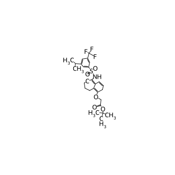 CC(C)c1cc(C(F)(F)F)cc(S(=O)(=O)NC2=C3C=CCC(OCC(=O)OC(C)(C)C)=C3CCCC2)c1